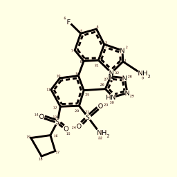 Nc1nc2cc(F)cc(-c3ccc(S(=O)(=O)C4CCC4)c(S(N)(=O)=O)c3-c3nnn[nH]3)c2[nH]1